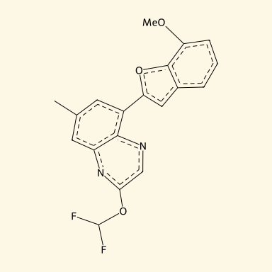 COc1cccc2cc(-c3cc(C)cc4nc(OC(F)F)cnc34)oc12